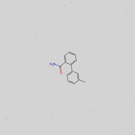 Cc1cccc(-c2cc[c]cc2C(N)=O)c1